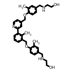 Cc1cc(CNCCO)ccc1OCc1ccnc(-c2cccc(COc3ccc(CNCCO)cc3C)c2C)c1